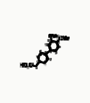 COc1ccc(-c2ccc(CC(=O)O)cc2)cc1OC